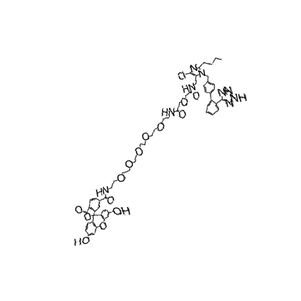 CCCCc1nc(Cl)c(CNC(=O)COCC(=O)NCCOCCOCCOCCOCCOCCNC(=O)c2ccc3c(c2)C2(OC3=O)c3ccc(O)cc3Oc3cc(O)ccc32)n1Cc1ccc(-c2ccccc2-c2nn[nH]n2)cc1